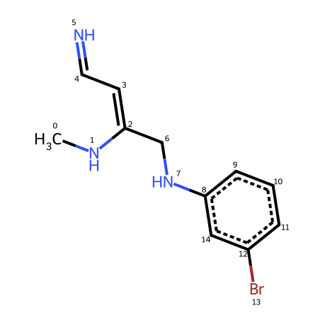 CN/C(=C\C=N)CNc1cccc(Br)c1